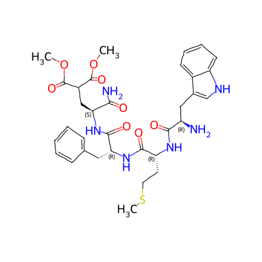 COC(=O)C(C[C@H](NC(=O)[C@@H](Cc1ccccc1)NC(=O)[C@@H](CCSC)NC(=O)[C@H](N)Cc1c[nH]c2ccccc12)C(N)=O)C(=O)OC